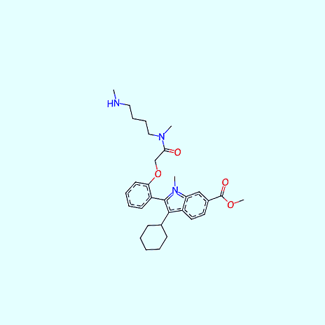 CNCCCCN(C)C(=O)COc1ccccc1-c1c(C2CCCCC2)c2ccc(C(=O)OC)cc2n1C